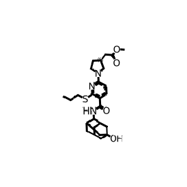 CCCSc1nc(N2CC[C@@H](CC(=O)OC)C2)ccc1C(=O)NC1C2CC3CC1CC(O)(C3)C2